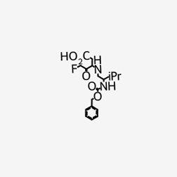 CC(C)C(CNC(CC(=O)O)C(=O)CF)NC(=O)OCc1ccccc1